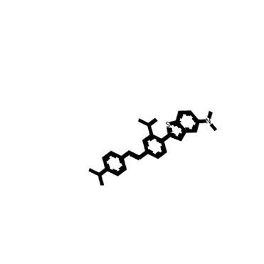 CC(C)c1ccc(C=Cc2ccc(-c3cc4cc(N(C)C)ccc4s3)c(C(C)C)c2)cc1